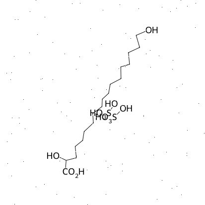 O=C(O)C(O)CCCCCCCCCCCCCCCCO.O=S(=O)(O)O.O=S(=O)(O)O